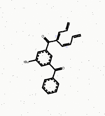 C=C/C=C\C(=C/C=C)C(=O)c1cc(C(=O)c2ccccc2)cc(C(C)(C)C)c1